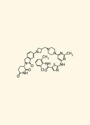 Cc1nc(Nc2ncc(C(=O)Nc3c(C)cccc3Cl)s2)cc(N2CCN(CC3CN(c4ccc5c(c4)C(=O)N(C4CCC(=O)NC4=O)C5)C3)CC2)n1